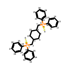 S=P(CC1CCC(CP(=S)(c2ccccc2)c2ccccc2)CC1)(c1ccccc1)c1ccccc1